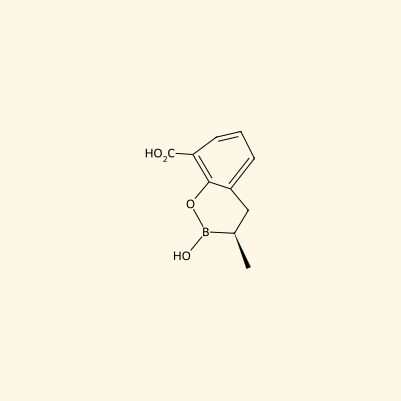 C[C@@H]1Cc2cccc(C(=O)O)c2OB1O